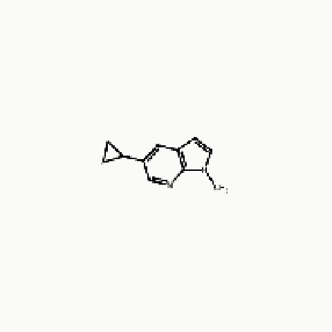 Cn1ccc2cc(C3CC3)cnc21